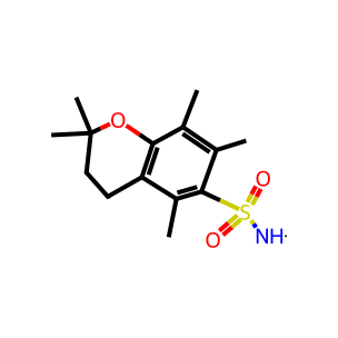 Cc1c(C)c(S([NH])(=O)=O)c(C)c2c1OC(C)(C)CC2